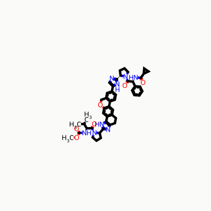 COC(=O)N[C@H](C(=O)N1CCCC1c1nc2c([nH]1)-c1cc3c(cc1CC2)-c1ccc(-c2cnc([C@@H]4CCCN4C(=O)[C@H](NC(=O)C4CC4)c4ccccc4)[nH]2)cc1CO3)C(C)C